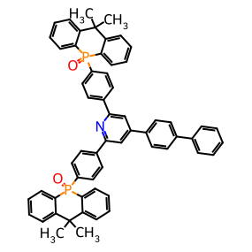 CC1(C)c2ccccc2P(=O)(c2ccc(-c3cc(-c4ccc(-c5ccccc5)cc4)cc(-c4ccc(P5(=O)c6ccccc6C(C)(C)c6ccccc65)cc4)n3)cc2)c2ccccc21